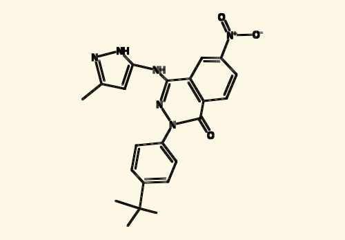 Cc1cc(Nc2nn(-c3ccc(C(C)(C)C)cc3)c(=O)c3ccc([N+](=O)[O-])cc23)[nH]n1